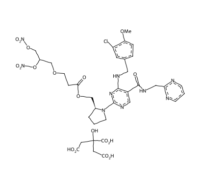 COc1ccc(CNc2nc(N3CCC[C@H]3COC(=O)CCOCC(CO[N+](=O)[O-])O[N+](=O)[O-])ncc2C(=O)NCc2ncccn2)cc1Cl.O=C(O)CC(O)(CC(=O)O)C(=O)O